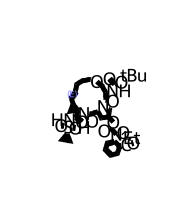 CCON(C(=O)OC1CC2C(=O)NC3(C(=O)NS(=O)(=O)C4CC4)CC3/C=C/CCCOCC(NC(=O)OC(C)(C)C)C(=O)N2C1)C1=CC=CCC1=C=O